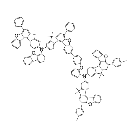 Cc1ccc(-c2cc3c(c4c2oc2ccccc24)-c2ccc(N(c4ccc5c(c4)C(C)(C)c4cc(-c6ccc(C)cc6)c6oc7ccccc7c6c4-5)c4cccc5c4oc4ccc(-c6ccc7c(c6)oc6c(-c8ccccc8)cc8c(c67)-c6ccc(N(c7ccc9c(c7)C(C)(C)c7cc(-c%10ccccc%10)c%10oc%11ccccc%11c%10c7-9)c7cccc9c7oc7ccccc79)cc6C8(C)C)cc45)cc2C3(C)C)cc1